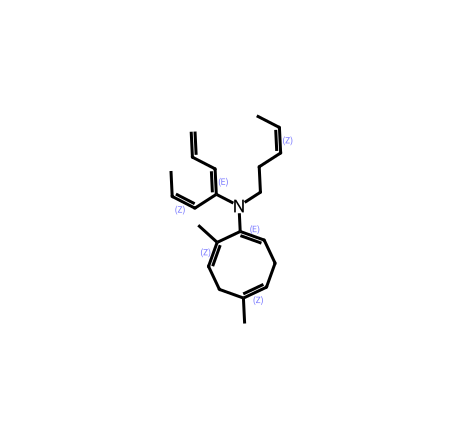 C=C/C=C(\C=C/C)N(CC/C=C\C)C1=C/C/C=C(/C)C/C=C\1C